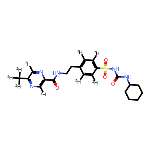 [2H]c1nc(C([2H])([2H])[2H])c([2H])nc1C(=O)NCCc1c([2H])c([2H])c(S(=O)(=O)NC(=O)NC2CCCCC2)c([2H])c1[2H]